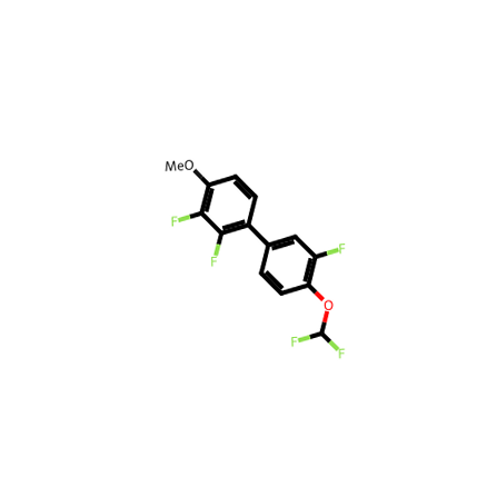 COc1ccc(-c2ccc(OC(F)F)c(F)c2)c(F)c1F